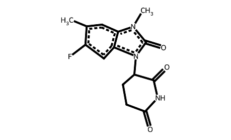 Cc1cc2c(cc1F)n(C1CCC(=O)NC1=O)c(=O)n2C